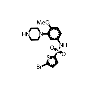 COc1ccc(NS(=O)(=O)c2ccc(Br)s2)cc1N1CCNCC1